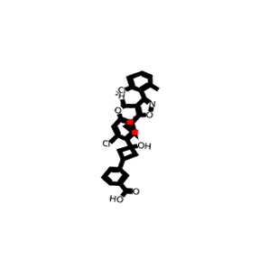 [2H]C(Oc1cc(Cl)c(C2(O)CC(c3cccc(C(=O)O)c3)C2)cc1F)c1c(-c2c(C)cccc2Cl)noc1C1CC1